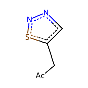 CC(=O)Cc1cnns1